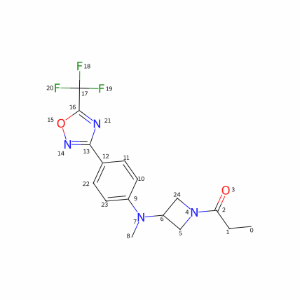 CCC(=O)N1CC(N(C)c2ccc(-c3noc(C(F)(F)F)n3)cc2)C1